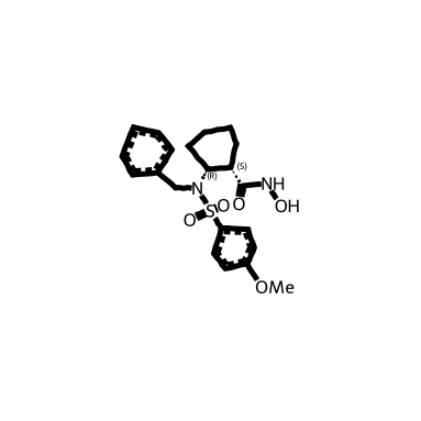 COc1ccc(S(=O)(=O)N(Cc2ccccc2)[C@@H]2CCCC[C@@H]2C(=O)NO)cc1